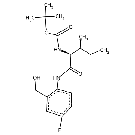 CC[C@H](C)[C@H](NC(=O)OC(C)(C)C)C(=O)Nc1ccc(F)cc1CO